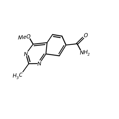 COc1nc(C)nc2cc(C(N)=O)ccc12